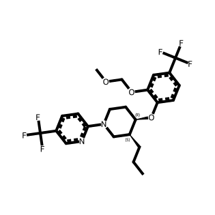 CCC[C@H]1CN(c2ccc(C(F)(F)F)cn2)CC[C@H]1Oc1ccc(C(F)(F)F)cc1OCOC